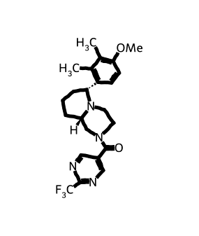 COc1ccc([C@H]2CCC[C@H]3CN(C(=O)c4cnc(C(F)(F)F)nc4)CCN32)c(C)c1C